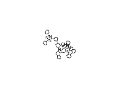 CC1(C)c2cc(-c3cccc(-c4nc(-c5ccccc5)nc(-c5ccccc5)n4)c3)ccc2-n2c3ccc4ccccc4c3c3cc(N(c4ccccc4-c4ccccc4)c4cccc5c4oc4ccccc45)cc1c32